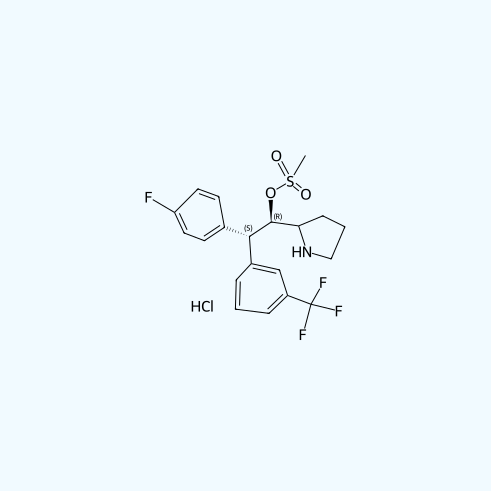 CS(=O)(=O)O[C@@H](C1CCCN1)[C@@H](c1ccc(F)cc1)c1cccc(C(F)(F)F)c1.Cl